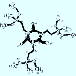 CO[Si](C)(CCn1c(=O)n(CC[Si](C)(OC)OC)c(=O)n(CC[Si](C)(OC)OC)c1=O)OC